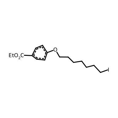 CCOC(=O)c1ccc(OCCCCCCCI)cc1